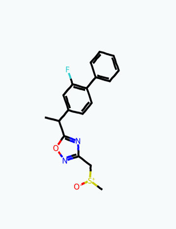 CC(c1ccc(-c2ccccc2)c(F)c1)c1nc(C[S+](C)[O-])no1